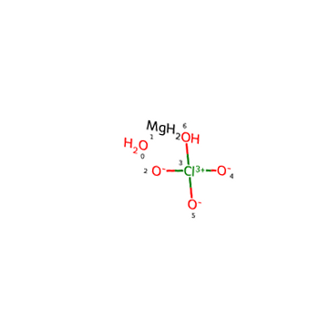 O.[MgH2].[O-][Cl+3]([O-])([O-])O